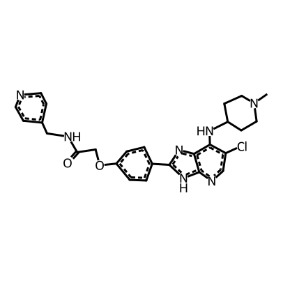 CN1CCC(Nc2c(Cl)cnc3[nH]c(-c4ccc(OCC(=O)NCc5ccncc5)cc4)nc23)CC1